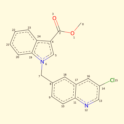 COC(=O)c1cn(Cc2ccc3ncc(Cl)cc3c2)c2ccccc12